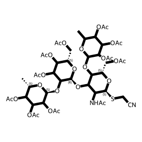 CC(=O)NC1C(O[C@@H]2O[C@@H](COC(C)=O)C(OC(C)=O)C(OC(C)=O)C2O[C@@H]2O[C@@H](C)C(OC(C)=O)C(OC(C)=O)C2OC(C)=O)C(OC2OC(C)C(OC(C)=O)C(OC(C)=O)C2OC(C)=O)[C@H](COC(C)=O)O[C@H]1SCC#N